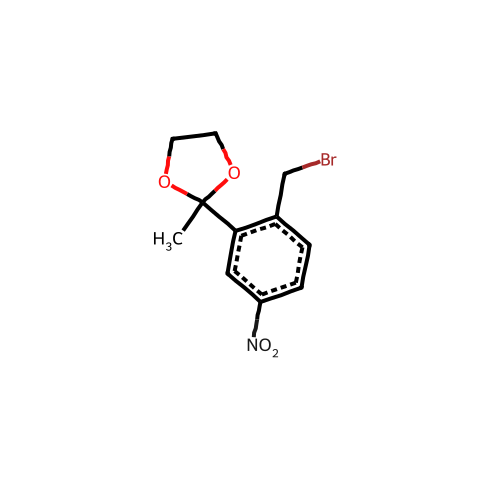 CC1(c2cc([N+](=O)[O-])ccc2CBr)OCCO1